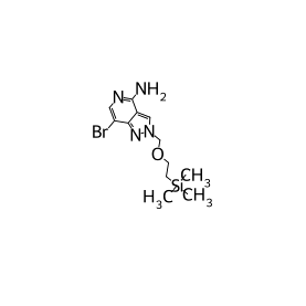 C[Si](C)(C)CCOCn1cc2c(N)ncc(Br)c2n1